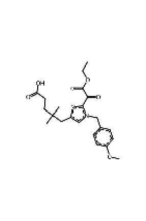 CCOC(=O)C(=O)c1nc(CC(C)(C)CCC(=O)O)cn1Cc1ccc(OC)cc1